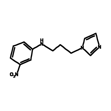 O=[N+]([O-])c1cccc(NCCCn2ccnc2)c1